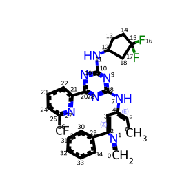 C=N/C(=C\C(=C/C)Nc1nc(NC2CCC(F)(F)C2)nc(-c2cccc(C(F)(F)F)n2)n1)c1ccccc1